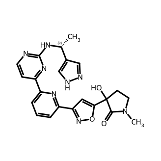 C[C@@H](Nc1nccc(-c2cccc(-c3cc(C4(O)CCN(C)C4=O)on3)n2)n1)c1cn[nH]c1